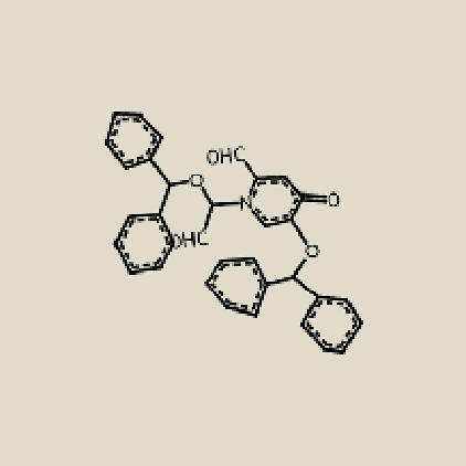 O=Cc1cc(=O)c(OC(c2ccccc2)c2ccccc2)cn1C(C=O)OC(c1ccccc1)c1ccccc1